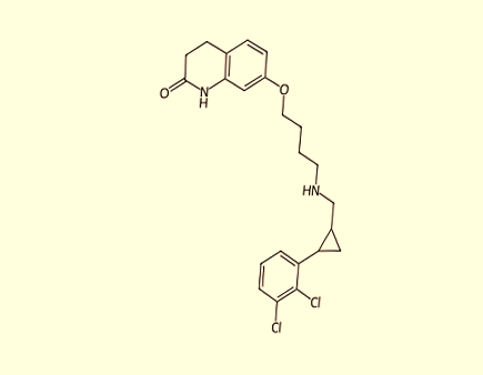 O=C1CCc2ccc(OCCCCNCC3CC3c3cccc(Cl)c3Cl)cc2N1